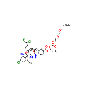 COCCOCCOCCOC(=O)OC(C)OC(=O)c1ccc(NC(=O)[C@@H]2N[C@@H](CC(C)(C)C)C3(C(=O)Nc4cc(Cl)ccc43)[C@H]2C(C)/C=C\C=C(\Cl)CF)c(OC)c1